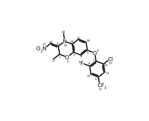 CC1Oc2cc(Oc3c(F)cc(C(F)(F)F)cc3Cl)ccc2N(C)/C1=C/[N+](=O)[O-]